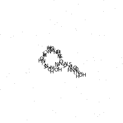 C/C=C(/NC(=O)c1csc(-c2csc(-c3ccc4c(n3)-c3csc(n3)C(C(C)O)NC(=O)c3csc(n3)C(C(C)C)NC(=O)c3csc(n3)/C(=C\C)NC(=O)C(C(C)O)NC(=O)c3csc-4n3)n2)n1)C(=O)NCC(C)O